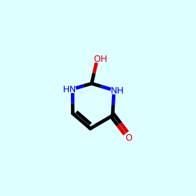 O=C1C=CNC(O)N1